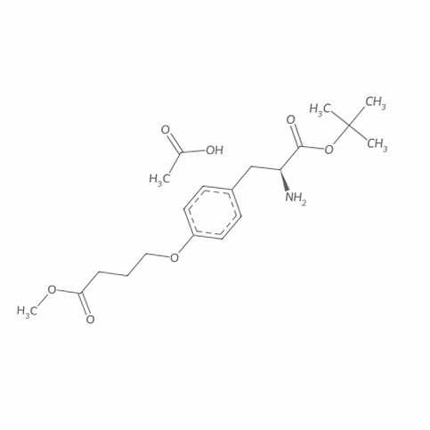 CC(=O)O.COC(=O)CCCOc1ccc(C[C@H](N)C(=O)OC(C)(C)C)cc1